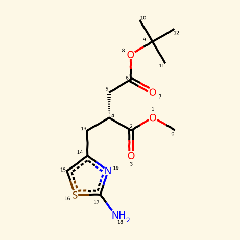 COC(=O)[C@@H](CC(=O)OC(C)(C)C)Cc1csc(N)n1